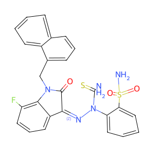 NC(=S)N(/N=C1\C(=O)N(Cc2cccc3ccccc23)c2c(F)cccc21)c1ccccc1S(N)(=O)=O